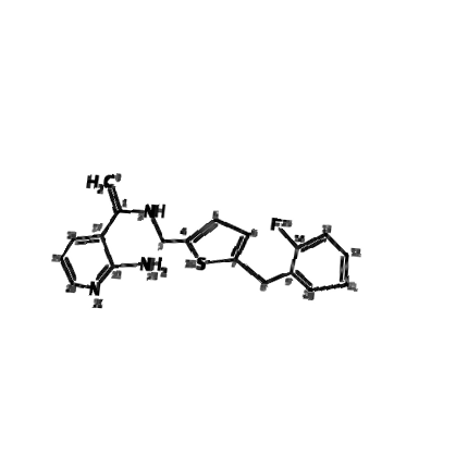 C=C(NCc1ccc(Cc2ccccc2F)s1)c1cccnc1N